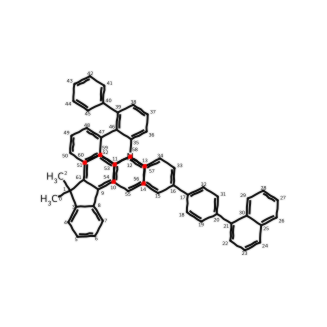 CC1(C)c2ccccc2-c2cc(N(c3ccc(-c4ccc(-c5cccc6ccccc56)cc4)cc3)c3cccc(-c4ccccc4)c3-c3ccccc3-c3ccccc3)ccc21